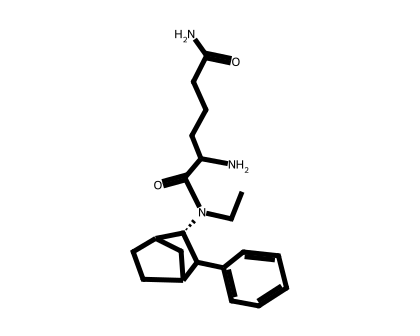 CCN(C(=O)C(N)CCCC(N)=O)[C@H]1C2CCC(C2)C1c1ccccc1